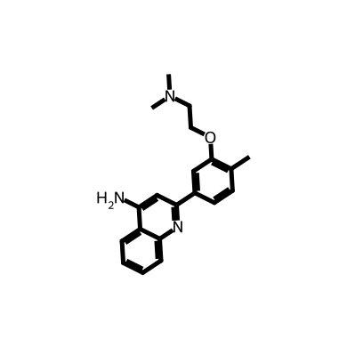 Cc1ccc(-c2cc(N)c3ccccc3n2)cc1OCCN(C)C